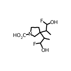 CC(C(O)F)C1(C(C)C(O)F)CCN(C(=O)O)C1